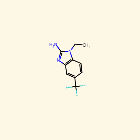 CCn1c(N)nc2cc(C(F)(F)F)ccc21